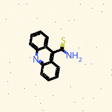 NC(=S)c1c2ccccc2nc2ccccc12